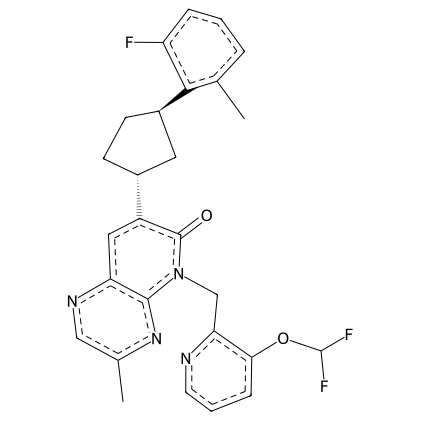 Cc1cnc2cc([C@@H]3CC[C@@H](c4c(C)cccc4F)C3)c(=O)n(Cc3ncccc3OC(F)F)c2n1